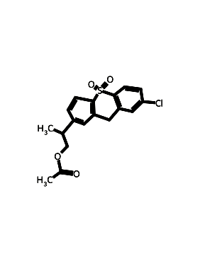 CC(=O)OCC(C)c1ccc2c(c1)Cc1cc(Cl)ccc1S2(=O)=O